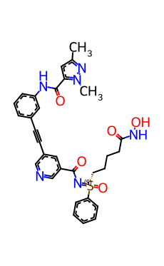 Cc1cc(C(=O)Nc2cccc(C#Cc3cncc(C(=O)N=[S@](=O)(CCCCC(=O)NO)c4ccccc4)c3)c2)n(C)n1